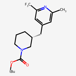 Cc1cc(C[C@H]2CCCN(C(=O)OC(C)(C)C)C2)cc(C(F)(F)F)n1